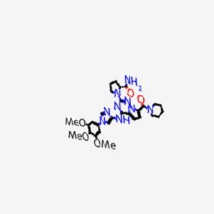 COc1cc(-n2cnc(Nc3nc(N4CCC[C@H]4C(N)=O)nn4c(C(=O)N5CCCCC5)ccc34)c2)cc(OC)c1OC